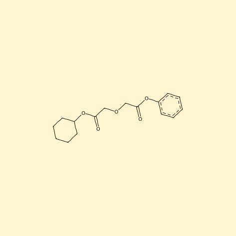 O=C(COCC(=O)OC1CCCCC1)Oc1ccccc1